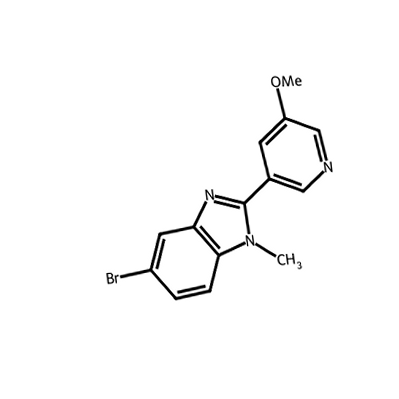 COc1cncc(-c2nc3cc(Br)ccc3n2C)c1